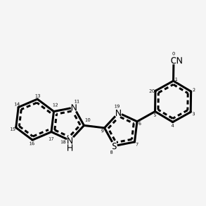 N#Cc1cccc(-c2csc(-c3nc4ccccc4[nH]3)n2)c1